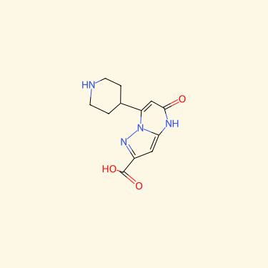 O=C(O)c1cc2[nH]c(=O)cc(C3CCNCC3)n2n1